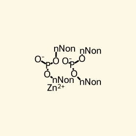 CCCCCCCCCOP([O-])OCCCCCCCCC.CCCCCCCCCOP([O-])OCCCCCCCCC.[Zn+2]